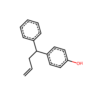 C=CCC(c1ccccc1)c1ccc(O)cc1